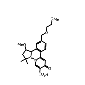 COCCOCc1ccc2c(c1)C1C(OC)CC(C)(C)N1n1cc(C(=O)O)c(=O)cc1-2